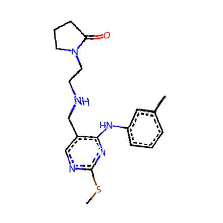 CSc1ncc(CNCCN2CCCC2=O)c(Nc2cccc(C)c2)n1